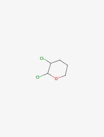 ClC1[CH]CCOC1Cl